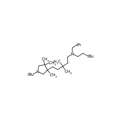 CC(C)CN(CCC(C)(C)C)CCC(C)(C)CCC1(C)CN(C(C)(C)C)CC1(C)C